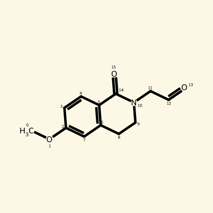 COc1ccc2c(c1)CCN(CC=O)C2=O